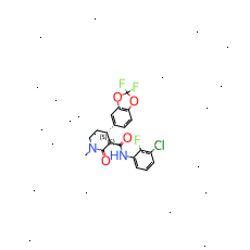 CN1CC[C@H](c2ccc3c(c2)OC(F)(F)O3)[C@@H](C(=O)Nc2cccc(Cl)c2F)C1=O